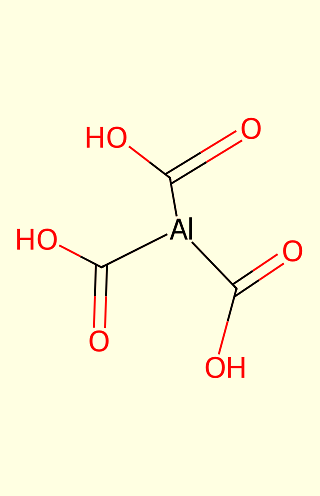 O=[C](O)[Al]([C](=O)O)[C](=O)O